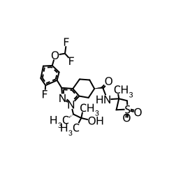 C[C@H](n1nc(-c2cc(OC(F)F)ccc2F)c2c1C[C@H](C(=O)NC1(C)CS(=O)(=O)C1)CC2)C(C)(C)O